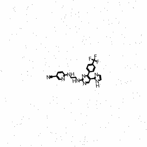 N#Cc1ccc(NCCNc2ncc(-c3ncc[nH]3)c(-c3ccc(C(F)(F)F)cc3)n2)nc1